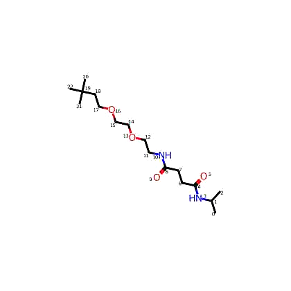 CC(C)NC(=O)CCC(=O)NCCOCCOCCC(C)(C)C